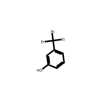 CCC(CC)(C(C)=O)c1cccc(O)c1